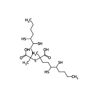 CCCCC(S)C(S)CCC(C)(SC(C)(CCC(S)C(S)CCCC)C(=O)O)C(=O)O